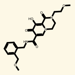 COCCN1CCn2cc(C(=O)NCc3ccccc3COC)c(=O)c(O)c2C1=O